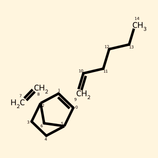 C1=CC2CCC1C2.C=C.C=CCCCC